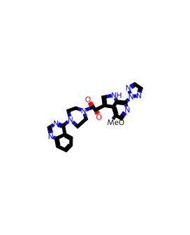 COc1cnc(-n2nccn2)c2[nH]cc(C(=O)C(=O)N3CCN(c4ncnc5ccccc45)CC3)c12